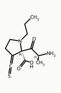 CCCN1CCC(=C=S)[C@]1(C(=O)O)C(=O)[C@H](C)N